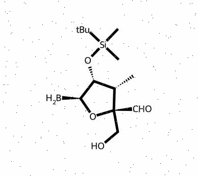 B[C@@H]1O[C@@](C=O)(CO)[C@@H](C)[C@H]1O[Si](C)(C)C(C)(C)C